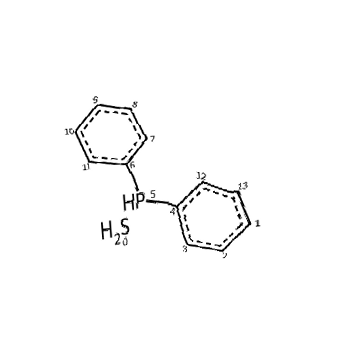 S.c1ccc(Pc2ccccc2)cc1